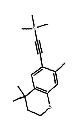 Cc1cc2c(cc1C#C[Si](C)(C)C)C(C)(C)CCS2